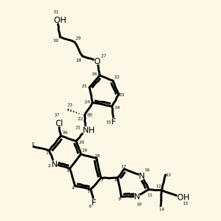 Cc1nc2cc(F)c(-c3cnc(C(C)(C)O)nc3)cc2c(N[C@H](C)c2cc(OCCCO)ccc2F)c1Cl